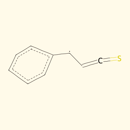 S=C=C[CH]c1ccccc1